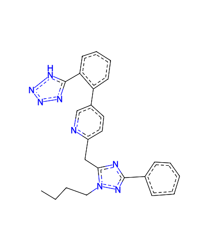 CCCCn1nc(-c2ccccc2)nc1Cc1ccc(-c2ccccc2-c2nnn[nH]2)cn1